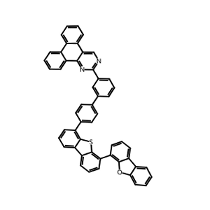 c1cc(-c2ccc(-c3cccc4c3sc3c(-c5cccc6c5oc5ccccc56)cccc34)cc2)cc(-c2ncc3c4ccccc4c4ccccc4c3n2)c1